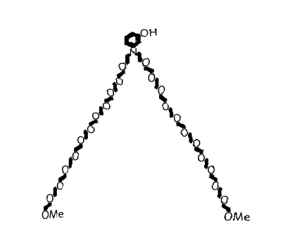 COCCOCCOCCOCCOCCOCCOCCOCCOCCOCCOCCOCCN(CCOCCOCCOCCOCCOCCOCCOCCOCCOCCOCCOCCOC)c1cccc(O)c1